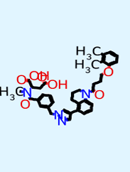 Cc1cccc(OCCCC(=O)N2CCCc3c(-c4cnn(Cc5cccc(C(=O)N(C)C(CC(=O)O)C(=O)O)c5)c4)cccc32)c1C